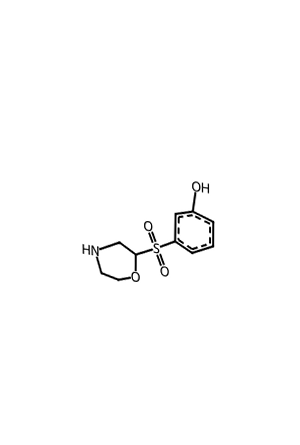 O=S(=O)(c1cccc(O)c1)C1CNCCO1